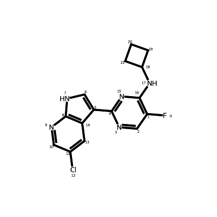 Fc1cnc(-c2c[nH]c3ncc(Cl)cc23)nc1NC1CCC1